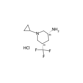 Cl.N[C@@H]1C[C@H](C(F)(F)F)CN(C2CC2)C1